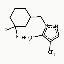 O=C(O)c1c(C(F)(F)F)cnn1CC1CCCC(F)(F)C1